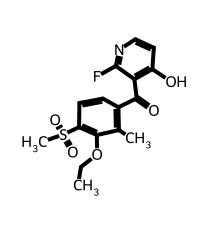 CCOc1c(S(C)(=O)=O)ccc(C(=O)c2c(O)ccnc2F)c1C